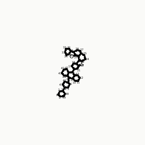 c1ccc(-c2ccc(-c3c4ccccc4c(-c4ccc5c(c4)sc4ccc6ccc7c8ccccc8oc7c6c45)c4ccccc34)cc2)cc1